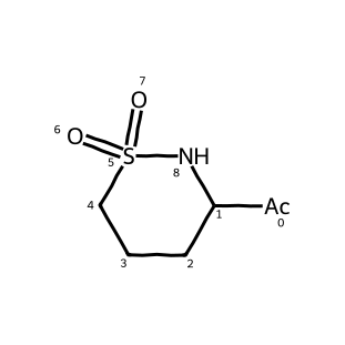 CC(=O)C1CCCS(=O)(=O)N1